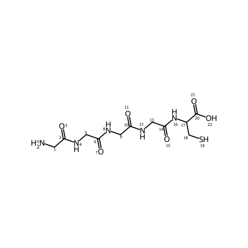 NCC(=O)NCC(=O)NCC(=O)NCC(=O)NC(CS)C(=O)O